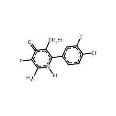 CCOC(=O)c1c(-c2ccc(Cl)c(Cl)c2)n(CC)c(C)c(F)c1=O